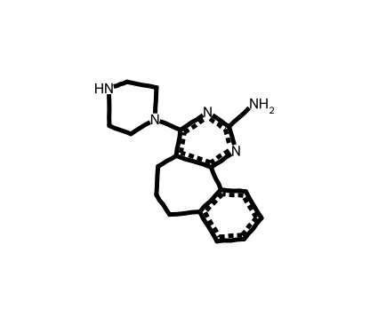 Nc1nc2c(c(N3CCNCC3)n1)CCCc1ccccc1-2